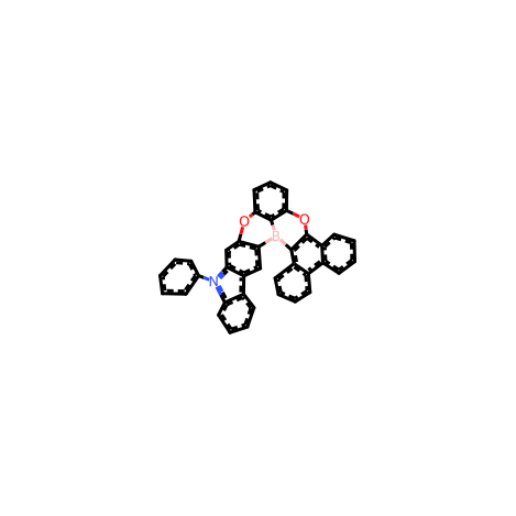 c1ccc(-n2c3ccccc3c3cc4c(cc32)Oc2cccc3c2B4c2c(c4ccccc4c4ccccc24)O3)cc1